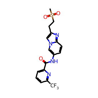 CS(=O)(=O)CCc1cn2cc(NC(=O)c3cccc(C(F)(F)F)n3)ccc2n1